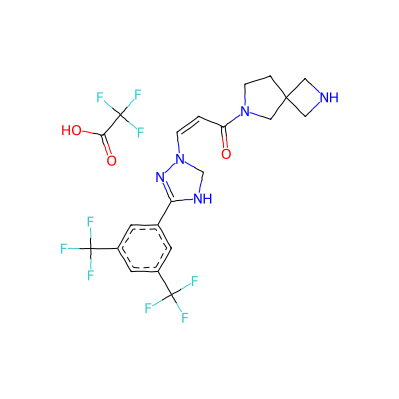 O=C(/C=C\N1CNC(c2cc(C(F)(F)F)cc(C(F)(F)F)c2)=N1)N1CCC2(CNC2)C1.O=C(O)C(F)(F)F